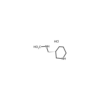 Cl.O=C(O)NC[C@@H]1CCCNC1